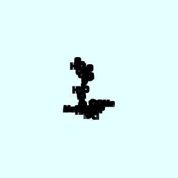 COc1cc(N2CCC(NC(=O)CCOc3cccc4c3C(=O)N(C3CCC(=O)NC3=O)C4=O)CC2)ccc1Nc1ncc(Cl)c(Nc2ccccc2P(=O)(OC)OC)n1